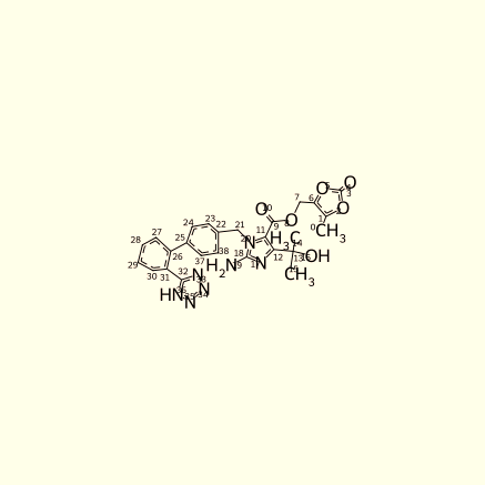 Cc1oc(=O)oc1COC(=O)c1c(C(C)(C)O)nc(N)n1Cc1ccc(-c2ccccc2-c2nnn[nH]2)cc1